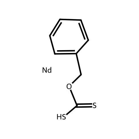 S=C(S)OCc1ccccc1.[Nd]